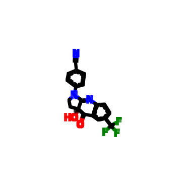 N#Cc1ccc(N2CC[C@@]3(O)C(=O)c4cc(C(F)(F)F)ccc4N=C23)cc1